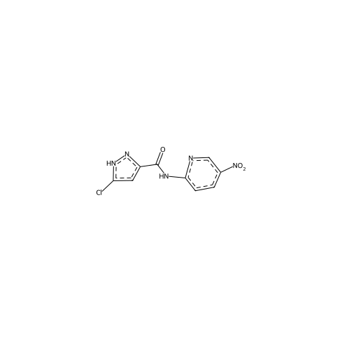 O=C(Nc1ccc([N+](=O)[O-])cn1)c1cc(Cl)[nH]n1